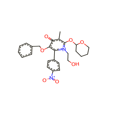 Cc1c(OC2CCCCO2)n(CCO)c(-c2ccc([N+](=O)[O-])cc2)c(OCc2ccccc2)c1=O